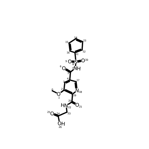 COc1cc(C(=O)NS(=O)(=O)c2ccccc2)cnc1C(=O)NCC(=O)O